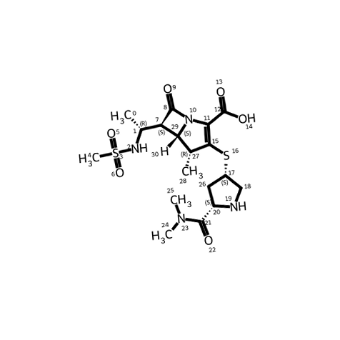 C[C@@H](NS(C)(=O)=O)[C@H]1C(=O)N2C(C(=O)O)=C(S[C@@H]3CN[C@H](C(=O)N(C)C)C3)[C@H](C)[C@H]12